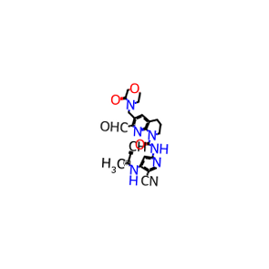 C#C[C@H](C)Nc1cc(NC(=O)N2CCCc3cc(CN4CCOCC4=O)c(C=O)nc32)ncc1C#N